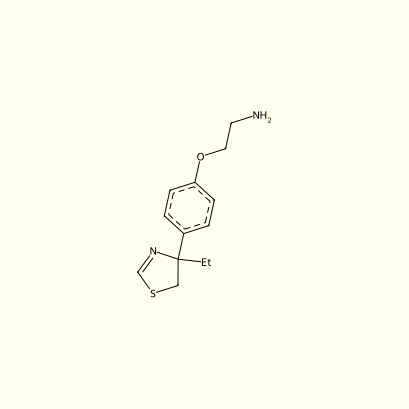 CCC1(c2ccc(OCCN)cc2)CSC=N1